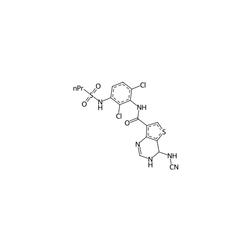 CCCS(=O)(=O)Nc1ccc(Cl)c(NC(=O)c2csc3c2N=CNC3NC#N)c1Cl